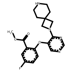 COC(=O)c1cc(F)ccc1Oc1cncnc1N1CC2(CCNCC2)C1